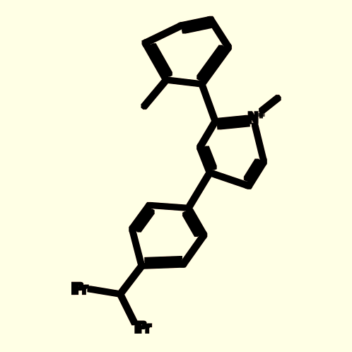 Cc1ccccc1-c1cc(-c2ccc(C(C(C)C)C(C)C)cc2)cc[n+]1C